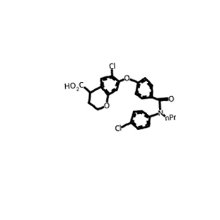 CCCN(C(=O)c1ccc(Oc2cc3c(cc2Cl)C(C(=O)O)CCO3)cc1)c1ccc(Cl)cc1